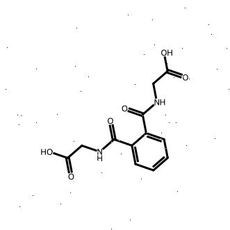 O=C(O)CNC(=O)c1ccccc1C(=O)NCC(=O)O